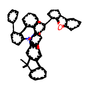 CC1(C)c2ccccc2-c2ccc(N(c3ccc(-c4cccc5c4oc4ccccc45)cc3)c3cccc(-c4ccccc4)c3-c3ccccc3-c3ccccc3)cc21